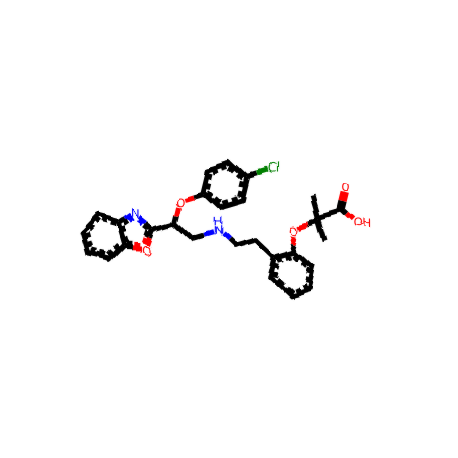 CC(C)(Oc1ccccc1CCNCC(Oc1ccc(Cl)cc1)c1nc2ccccc2o1)C(=O)O